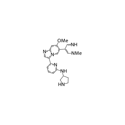 CN/C=C(\C=N)c1cn2c(-c3cccc(NC4CCNC4)n3)cnc2cc1OC